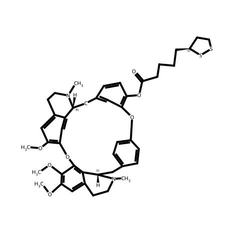 COc1cc2c3cc1Oc1c(OC)c(OC)cc4c1[C@H](Cc1ccc(cc1)Oc1cc(ccc1OC(=O)CCCC[C@H]1CCSS1)C[C@H]3N(C)CC2)N(C)CC4